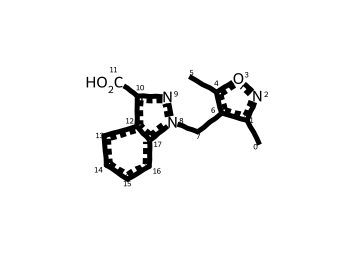 Cc1noc(C)c1Cn1nc(C(=O)O)c2ccccc21